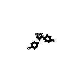 Clc1ccc(Sc2c[nH]nc2-c2ccc(Br)cc2)cc1